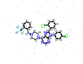 FC(F)(F)c1ccccc1CN1CCN(c2ncnc3c2nc(-c2ccccc2Cl)n3-c2ccc(Cl)cc2)CC1